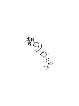 CCC(CC)(c1ccc(OCC(=O)C(C)(C)C)c(C)c1)c1ccc(N(C)S(C)(=O)=O)c(C)c1